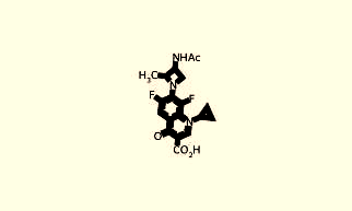 CC(=O)NC1CN(c2c(F)cc3c(=O)c(C(=O)O)cn(C4CC4)c3c2F)C1C